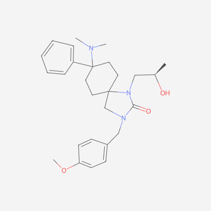 COc1ccc(CN2CC3(CCC(c4ccccc4)(N(C)C)CC3)N(C[C@@H](C)O)C2=O)cc1